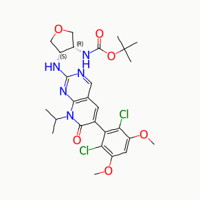 COc1cc(OC)c(Cl)c(-c2cc3cnc(N[C@@H]4COC[C@@H]4NC(=O)OC(C)(C)C)nc3n(C(C)C)c2=O)c1Cl